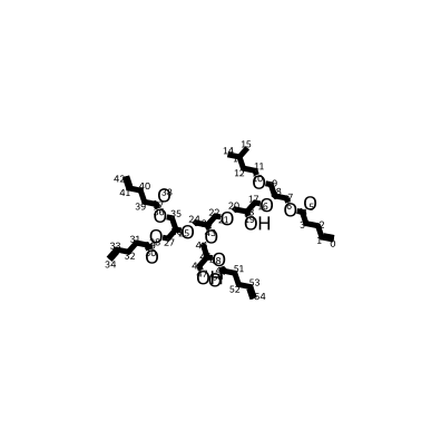 C=CCCC(=O)OCC(COCCC(C)C)OCC(O)COCC(COC(COC(=O)CCC=C)COC(=O)CCC=C)OCC(CO)OC(=O)CCC=C